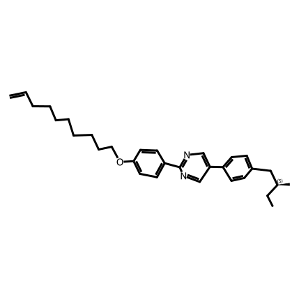 C=CCCCCCCCCOc1ccc(-c2ncc(-c3ccc(C[C@@H](C)CC)cc3)cn2)cc1